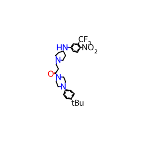 CC(C)(C)c1ccc(N2CCN(C(=O)CCN3CCC(Nc4ccc([N+](=O)[O-])c(C(F)(F)F)c4)CC3)CC2)cc1